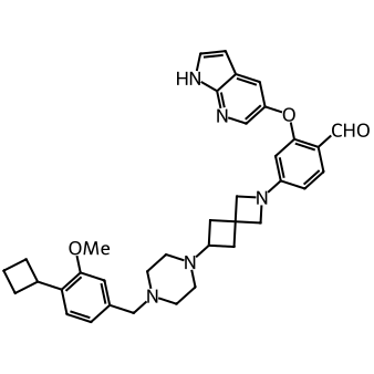 COc1cc(CN2CCN(C3CC4(C3)CN(c3ccc(C=O)c(Oc5cnc6[nH]ccc6c5)c3)C4)CC2)ccc1C1CCC1